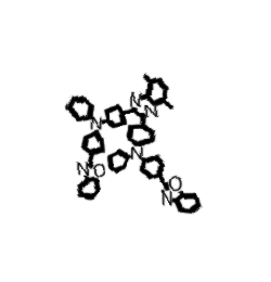 Cc1ccc(C)c2nc(-c3ccc(N(c4ccccc4)c4ccc(-c5nc6ccccc6o5)cc4)cc3)c(-c3ccc(N(c4ccccc4)c4ccc(-c5nc6ccccc6o5)cc4)cc3)nc12